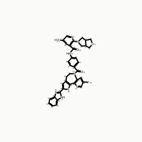 Cc1cnc(N2CC3COCC3C2)c(C(=O)Nc2ccc(C(=O)N3CCc4cc(-c5nc6ccccc6[nH]5)sc4-c4ncc(F)cc43)cc2)c1